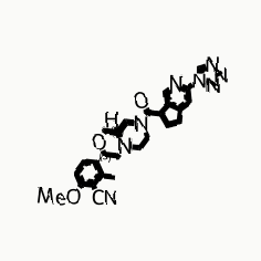 COc1ccc([C@H]2CN3CCN(C(=O)C4CCc5cc(-n6cnnn6)ncc54)C[C@@H]3CO2)c(C)c1C#N